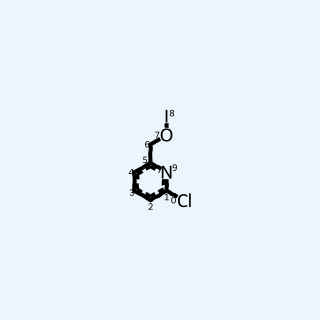 Clc1cccc(COI)n1